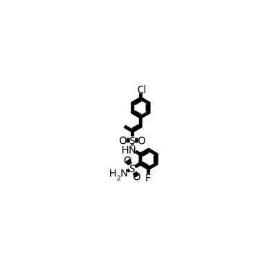 C/C(=C\c1ccc(Cl)cc1)S(=O)(=O)Nc1cccc(F)c1S(N)(=O)=O